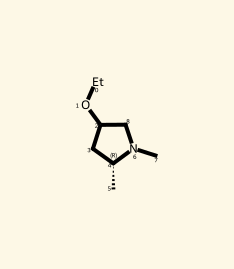 CCOC1C[C@@H](C)N(C)C1